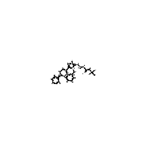 CC(C)(C)CC(=O)COCc1nnc(C2CCN(c3ccccn3)CC2)n1Cc1ccccc1